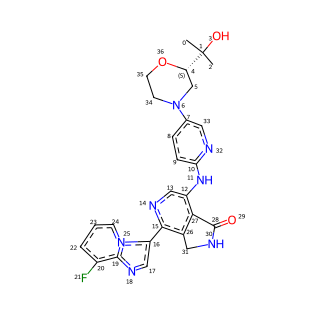 CC(C)(O)[C@@H]1CN(c2ccc(Nc3cnc(-c4cnc5c(F)cccn45)c4c3C(=O)NC4)nc2)CCO1